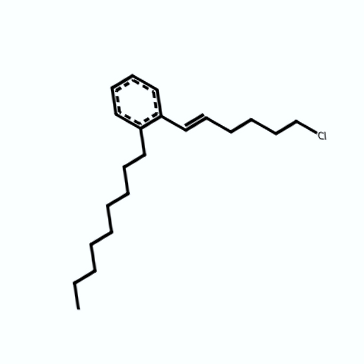 CCCCCCCCCc1ccccc1/C=C/CCCCCl